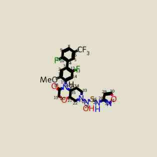 COc1cc(-c2cc(C(F)(F)F)ccc2F)c(F)cc1N1C(=O)COC2CN(N(O)SNc3ccon3)CC[C@@H]21